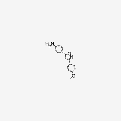 COc1ccc(-c2cc(-c3ccc(N)cc3)on2)cc1